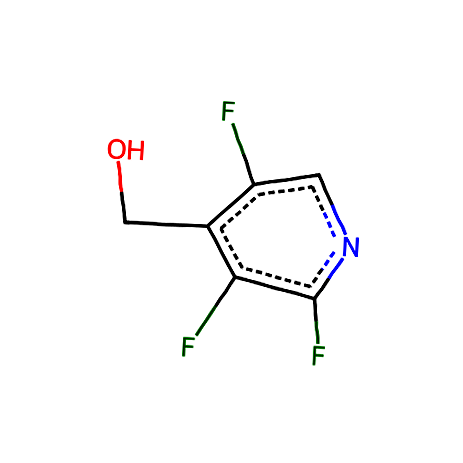 OCc1c(F)cnc(F)c1F